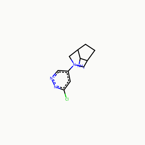 NC1C2CCC1CN(c1cnnc(Cl)c1)C2